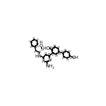 Nc1nc(N[C@@H](CO)Cc2ccccc2)cc(-c2cc(-c3ccc(O)cc3)ccc2O)n1